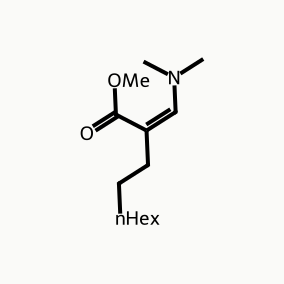 CCCCCCCCC(=CN(C)C)C(=O)OC